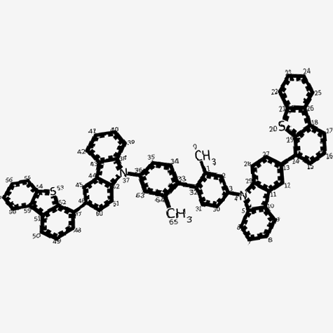 Cc1cc(-n2c3ccccc3c3cc(-c4cccc5c4sc4ccccc45)ccc32)ccc1-c1ccc(-n2c3ccccc3c3cc(-c4cccc5c4sc4ccccc45)ccc32)cc1C